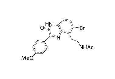 COc1ccc(-c2nc3c(CCNC(C)=O)c(Br)ccc3[nH]c2=O)cc1